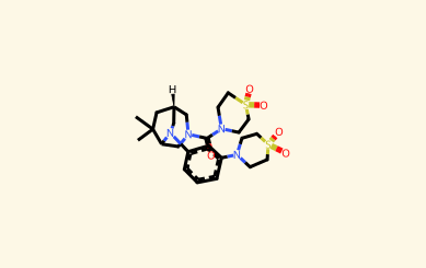 CC1(C)C[C@@H]2CN(C(=O)N3CCS(=O)(=O)CC3)CC1N(c1cccc(N3CCS(=O)(=O)CC3)c1)C2